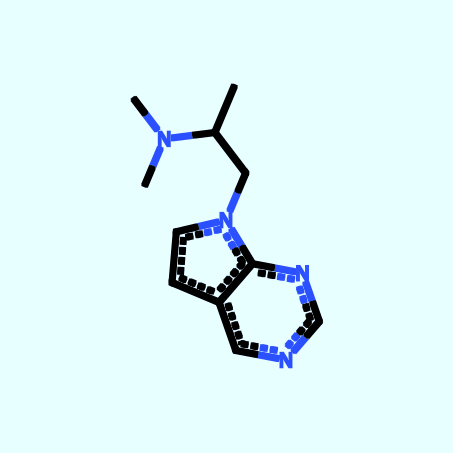 CC(Cn1ccc2cncnc21)N(C)C